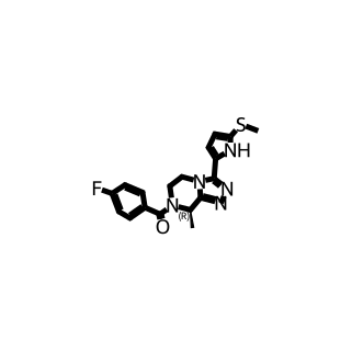 CSc1ccc(-c2nnc3n2CCN(C(=O)c2ccc(F)cc2)[C@@H]3C)[nH]1